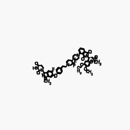 CCOc1cc([C@@H](CS(C)(=O)=O)N2C(=O)c3cccc(N4CCN([C@H]5CCN(CCc6ccc(Oc7cc8c(cc7F)c(N7CCC(=O)NC7=O)nn8C)cc6)CC5(F)F)CC4)c3C2=O)ccc1OC